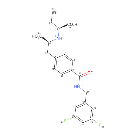 CC(C)C[C@H](N[C@@H](Cc1ccc(C(=O)NCc2cc(F)cc(F)c2)cc1)C(=O)O)C(=O)O